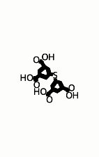 O=C(O)c1cc(Sc2cc(C(=O)O)cc(C(=O)O)c2)cc(C(=O)O)c1